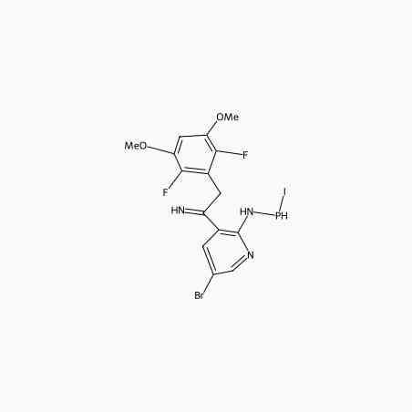 COc1cc(OC)c(F)c(CC(=N)c2cc(Br)cnc2NPI)c1F